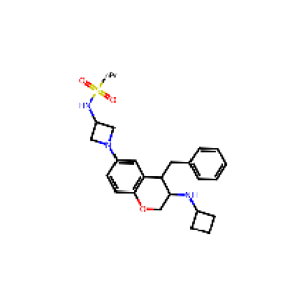 CCCS(=O)(=O)NC1CN(c2ccc3c(c2)C(Cc2ccccc2)C(NC2CCC2)CO3)C1